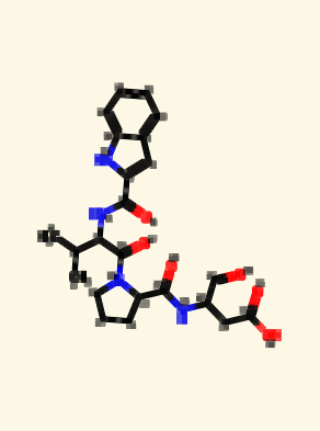 CC(C)C(NC(=O)c1cc2ccccc2[nH]1)C(=O)N1CCCC1C(=O)NC(C=O)CC(=O)O